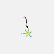 FC(F)(F)CCCS(F)(F)(F)(F)F